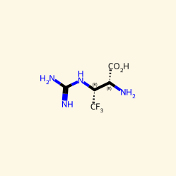 N=C(N)N[C@H]([C@@H](N)C(=O)O)C(F)(F)F